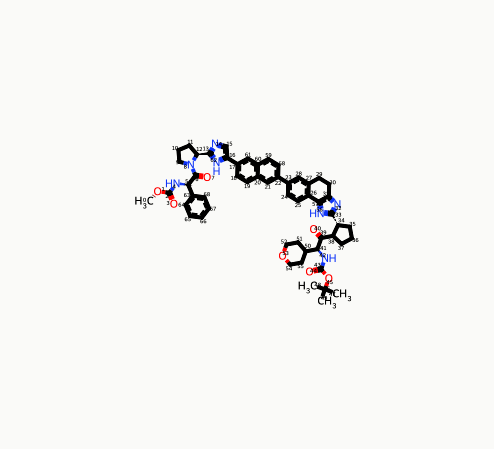 COC(=O)N[C@@H](C(=O)N1CCC[C@H]1c1ncc(-c2ccc3cc(-c4ccc5c(c4)CCc4nc([C@@H]6CCCC6C(=O)[C@@H](NC(=O)OC(C)(C)C)C6CCOCC6)[nH]c4-5)ccc3c2)[nH]1)c1ccccc1